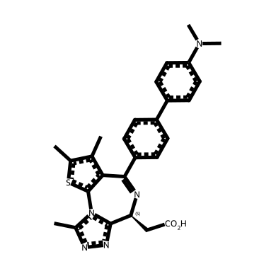 Cc1sc2c(c1C)C(c1ccc(-c3ccc(N(C)C)cc3)cc1)=N[C@@H](CC(=O)O)c1nnc(C)n1-2